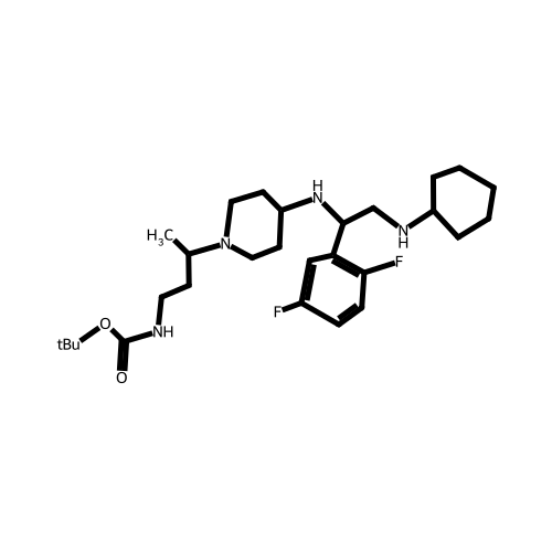 CC(CCNC(=O)OC(C)(C)C)N1CCC(NC(CNC2CCCCC2)c2cc(F)ccc2F)CC1